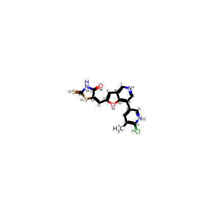 Cc1cc(-c2cncc3cc(C=C4SC(=S)NC4=O)oc23)cnc1Cl